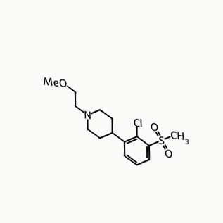 COCCN1CCC(c2cccc(S(C)(=O)=O)c2Cl)CC1